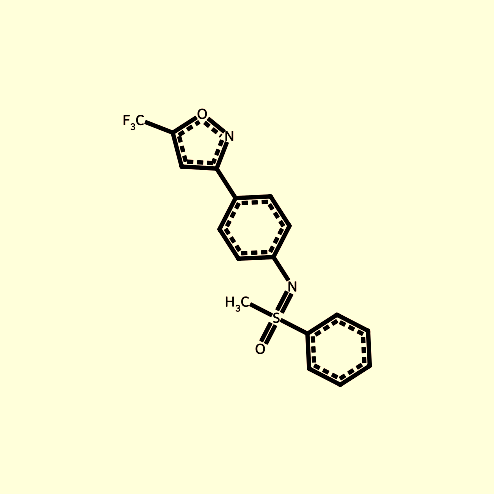 CS(=O)(=Nc1ccc(-c2cc(C(F)(F)F)on2)cc1)c1ccccc1